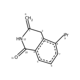 C=C1Cc2c(cccc2C(C)C)C(=O)N1